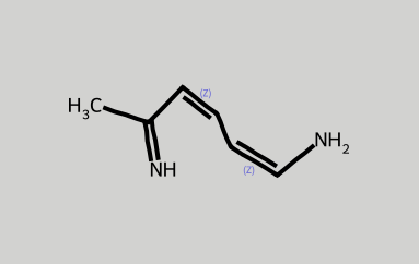 CC(=N)/C=C\C=C/N